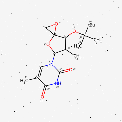 Cc1cn(C2OC3(CO3)C(O[Si](C)(C)C(C)(C)C)C2C)c(=O)[nH]c1=O